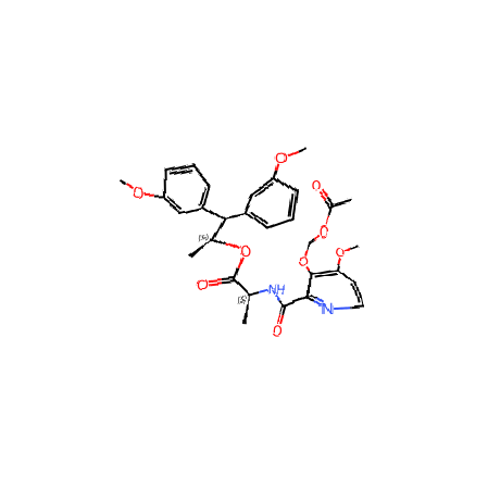 COc1cccc(C(c2cccc(OC)c2)[C@H](C)OC(=O)[C@H](C)NC(=O)c2nccc(OC)c2OCOC(C)=O)c1